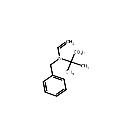 C=CN(Cc1ccccc1)C(C)(C)C(=O)O